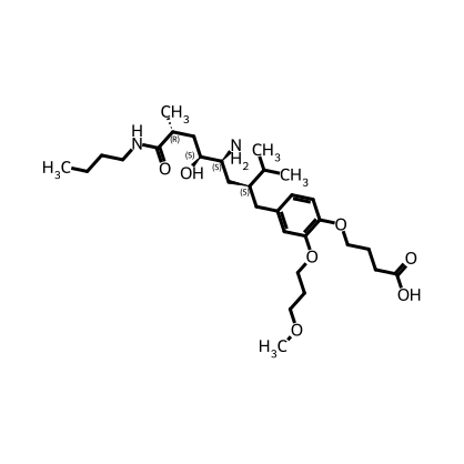 CCCCNC(=O)[C@H](C)C[C@H](O)[C@@H](N)C[C@H](Cc1ccc(OCCCC(=O)O)c(OCCCOC)c1)C(C)C